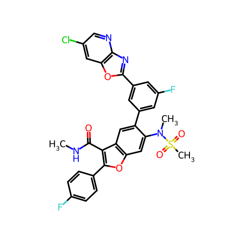 CNC(=O)c1c(-c2ccc(F)cc2)oc2cc(N(C)S(C)(=O)=O)c(-c3cc(F)cc(-c4nc5ncc(Cl)cc5o4)c3)cc12